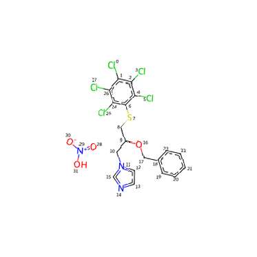 Clc1c(Cl)c(Cl)c(SCC(Cn2ccnc2)OCc2ccccc2)c(Cl)c1Cl.O=[N+]([O-])O